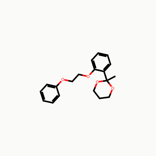 CC1(c2ccccc2OCCOc2ccccc2)OCCCO1